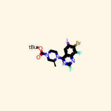 C[C@H]1CN(C(=O)OC(C)(C)C)CCN1c1nc(F)nc2c(F)c(Br)c(I)cc12